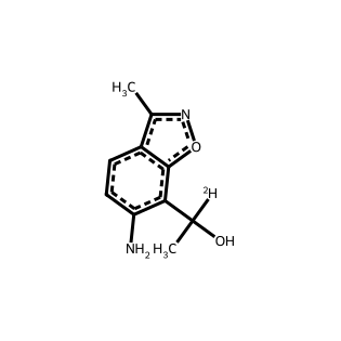 [2H]C(C)(O)c1c(N)ccc2c(C)noc12